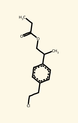 CCC(=O)OCC(C)c1ccc(CCCl)cc1